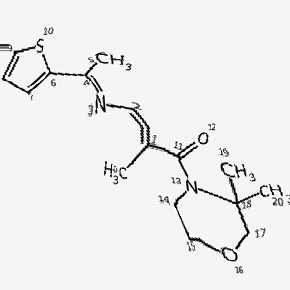 C/C(=C\N=C(/C)c1cccs1)C(=O)N1CCOCC1(C)C